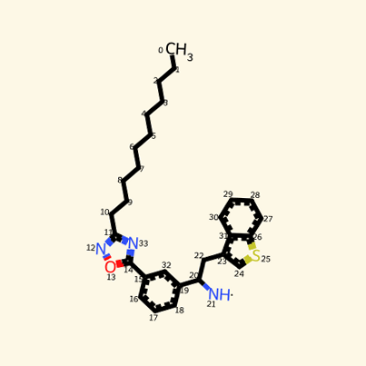 CCCCCCCCCCCc1noc(-c2cccc(C([NH])Cc3csc4ccccc34)c2)n1